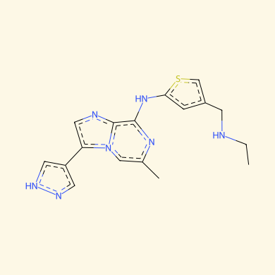 CCNCc1csc(Nc2nc(C)cn3c(-c4cn[nH]c4)cnc23)c1